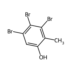 Cc1c(O)cc(Br)c(Br)c1Br